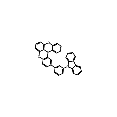 c1cc(-c2ccc3c(c2)B2c4ccccc4Oc4cccc(c42)O3)cc(-n2c3ccccc3c3ccccc32)c1